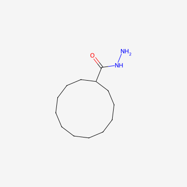 NNC(=O)C1CCCCCCCCCCC1